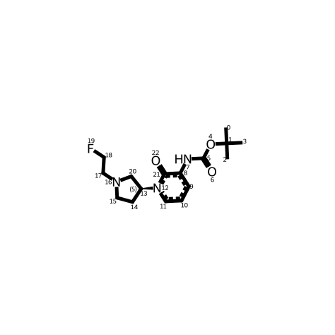 CC(C)(C)OC(=O)Nc1cccn([C@H]2CCN(CCF)C2)c1=O